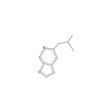 CC(C)Cc1cc2ccoc2cn1